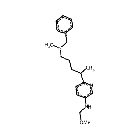 COCNc1ccc(C(C)CCCN(C)Cc2ccccc2)nc1